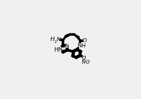 NC1CCCCC(=O)Nc2cc(ON=O)ccc2-c2c[nH]c1n2